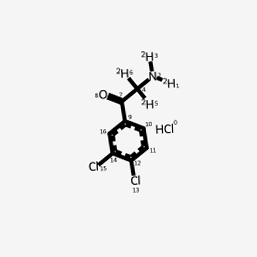 Cl.[2H]N([2H])C([2H])([2H])C(=O)c1ccc(Cl)c(Cl)c1